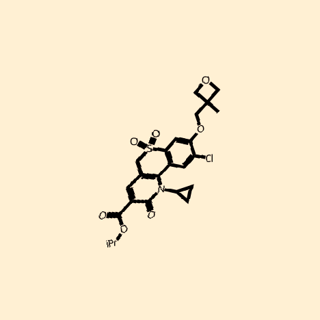 CC(C)OC(=O)c1cc2c(n(C3CC3)c1=O)-c1cc(Cl)c(OCC3(C)COC3)cc1S(=O)(=O)C2